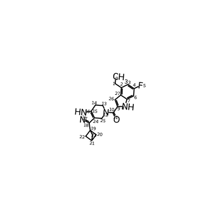 CCc1cc(F)cc2[nH]c(C(=O)N3CCc4[nH]nc(C56CC(C5)C6)c4C3)cc12